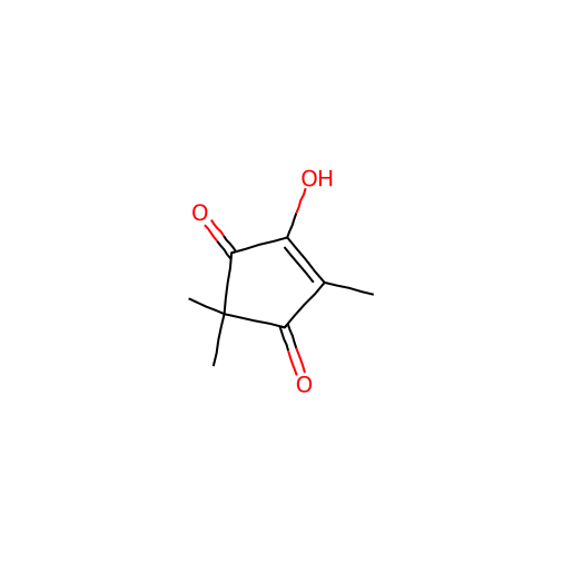 CC1=C(O)C(=O)C(C)(C)C1=O